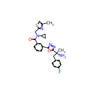 Cc1csc(CN(C(=O)c2cccc(-c3nnc(C(C)(N)Cc4ccc(F)cc4)o3)c2)C2CC2)n1